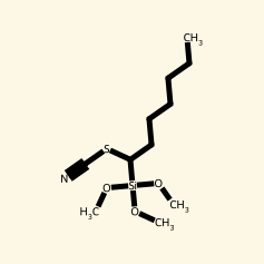 CCCCCCC(SC#N)[Si](OC)(OC)OC